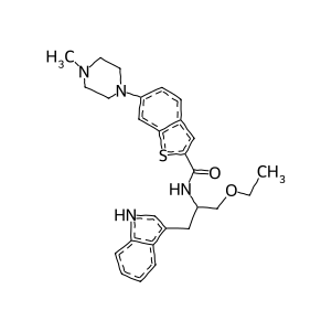 CCOCC(Cc1c[nH]c2ccccc12)NC(=O)c1cc2ccc(N3CCN(C)CC3)cc2s1